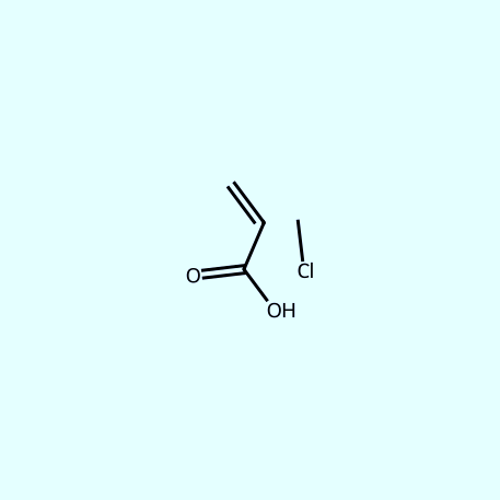 C=CC(=O)O.CCl